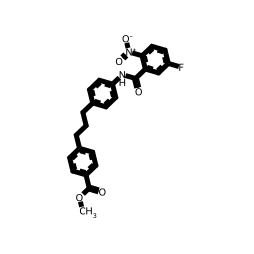 COC(=O)c1ccc(CCCc2ccc(NC(=O)c3cc(F)ccc3[N+](=O)[O-])cc2)cc1